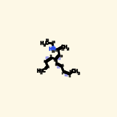 C=C\C=C/C(/C=C/C=C\C)=C\C(=C)NCC